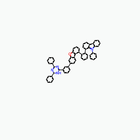 c1ccc(C2=NC(c3ccccc3)NC(c3cccc(-c4ccc5c(c4)oc4cccc(-c6ccccc6-c6cccc7c8ccccc8n(-c8ccccc8)c67)c45)c3)=N2)cc1